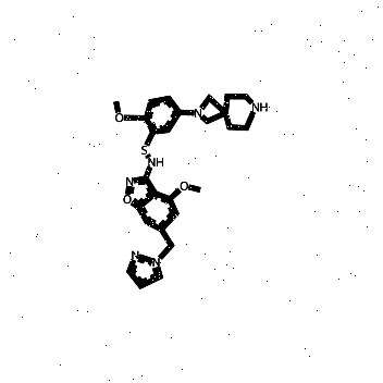 COc1ccc(N2CC3(CCNCC3)C2)cc1SNc1noc2cc(Cn3cccn3)cc(OC)c12